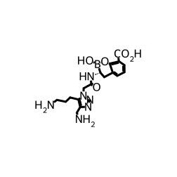 NCCCc1c(CN)nnn1CC(=O)N[C@H]1Cc2cccc(C(=O)O)c2OB1O